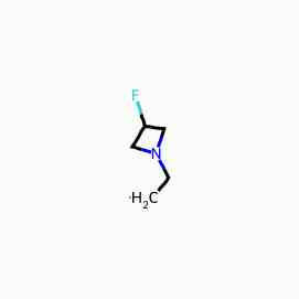 [CH2]CN1CC(F)C1